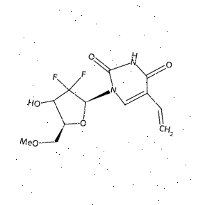 C=Cc1cn([C@H]2O[C@@H](COC)C(O)C2(F)F)c(=O)[nH]c1=O